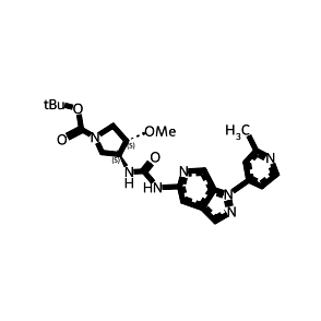 CO[C@H]1CN(C(=O)OC(C)(C)C)C[C@@H]1NC(=O)Nc1cc2cnn(-c3ccnc(C)c3)c2cn1